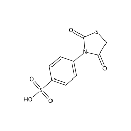 O=C1CSC(=O)N1c1ccc(S(=O)(=O)O)cc1